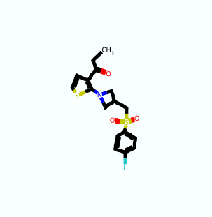 CCC(=O)c1ccsc1N1CC(CS(=O)(=O)c2ccc(F)cc2)C1